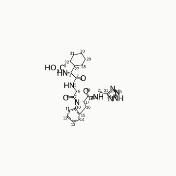 O=C(O)N[C@H](C(=O)NCC(=O)N1c2ccccc2CC1C(=O)NCc1nn[nH]n1)C1CCCCC1